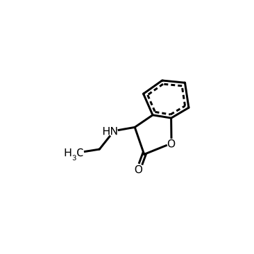 CCNC1C(=O)Oc2ccccc21